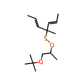 CC=CC(C)(C=CC)SOC(C)COC(C)(C)C